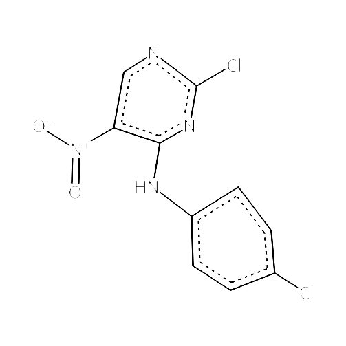 O=[N+]([O-])c1cnc(Cl)nc1Nc1ccc(Cl)cc1